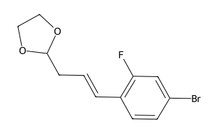 Fc1cc(Br)ccc1C=CCC1OCCO1